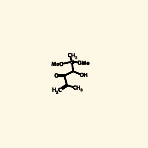 C=C(C)C(=O)C(O)[Si](C)(OC)OC